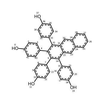 Oc1ccc(-c2c(-c3ccc(O)cc3)c(-c3ccc(O)cc3)c3cc4ccccc4cc3c2-c2ccc(O)cc2)cc1